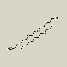 CCCCCCCCOCCC.OCCOCCOCCOCCOCCO